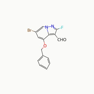 O=Cc1c(F)nn2cc(Br)cc(OCc3ccccc3)c12